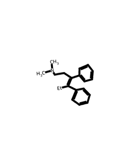 CCC(=C(CCN(C)C)c1ccccc1)c1ccccc1